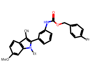 CCn1c(-c2cccc(NC(=O)OCc3ccc(C(C)C)cc3)c2)c(C#N)c2ccc(OC)cc21